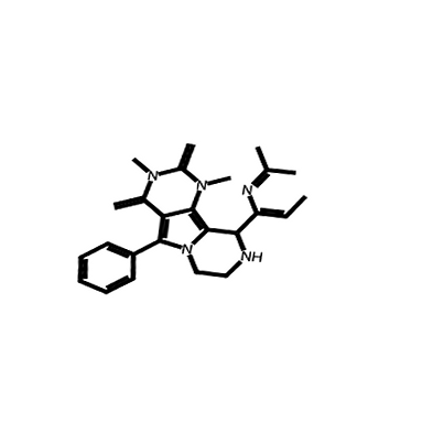 C=C1c2c(c3n(c2-c2ccccc2)CCNC3/C(=C/C)N=C(C)C)N(C)C(=C)N1C